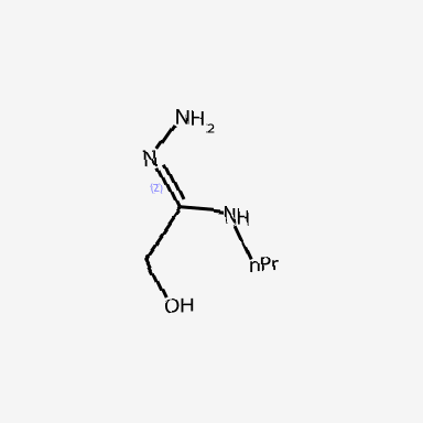 CCCN/C(CO)=N\N